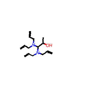 C=CCN(CC=C)C(C(C)O)N(CC=C)CC=C